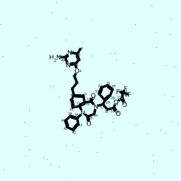 Cc1cc(OCCCc2ccc3c(c2)C(=O)N(C(CC(=O)OC(=O)C(F)(F)F)c2ccccc2)CC(=O)N3c2ccccc2)nc(N)n1